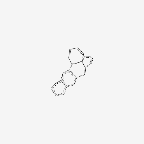 C1=CC2=Cc3cc4ccccc4cc3C3C=CC=CC23C=C1